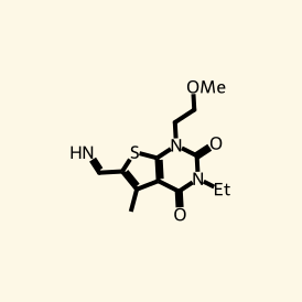 CCn1c(=O)c2c(C)c(C=N)sc2n(CCOC)c1=O